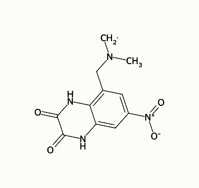 [CH2]N(C)Cc1cc([N+](=O)[O-])cc2[nH]c(=O)c(=O)[nH]c12